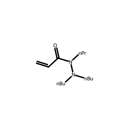 C=CC(=O)N(CCC)N(CCCC)CCCC